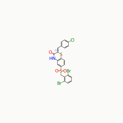 O=C1Nc2cc(S(=O)(=O)Cc3c(Br)cccc3Br)ccc2S/C1=C\c1ccc(Cl)cc1